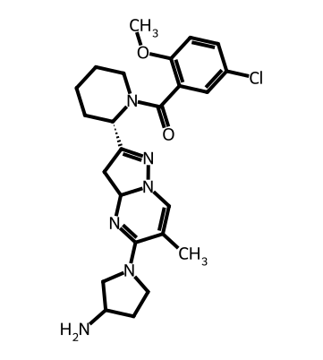 COc1ccc(Cl)cc1C(=O)N1CCCC[C@H]1C1=NN2C=C(C)C(N3CCC(N)C3)=NC2C1